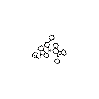 c1ccc(-c2cccc(N(c3ccc4c5ccccc5n(-c5ccccc5)c4c3)c3cccc4c3-c3ccccc3C43C4CC5CC(C4)CC3C5)c2-c2ccccc2)cc1